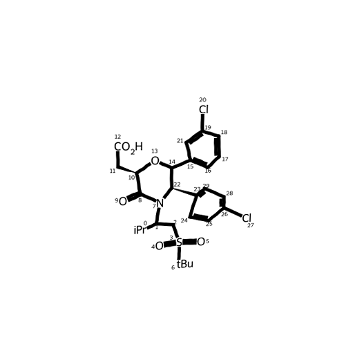 CC(C)C(CS(=O)(=O)C(C)(C)C)N1C(=O)[C@@H](CC(=O)O)OC(c2cccc(Cl)c2)[C@H]1c1ccc(Cl)cc1